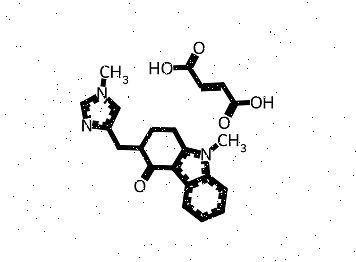 Cn1cnc(CC2CCc3c(c4ccccc4n3C)C2=O)c1.O=C(O)C=CC(=O)O